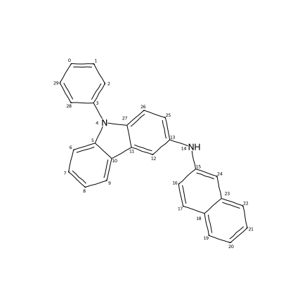 c1ccc(-n2c3ccccc3c3cc(Nc4ccc5ccccc5c4)ccc32)cc1